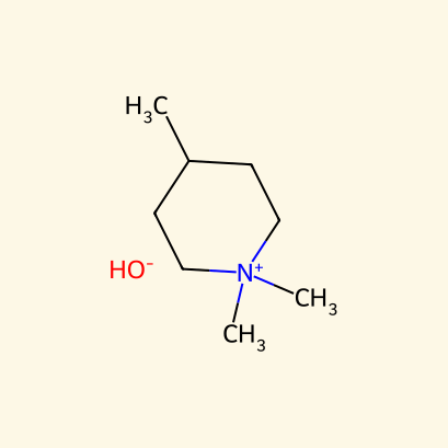 CC1CC[N+](C)(C)CC1.[OH-]